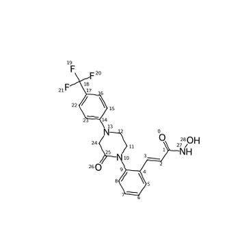 O=C(C=Cc1ccccc1N1CCN(c2ccc(C(F)(F)F)cc2)CC1=O)NO